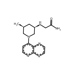 C[C@H]1C[C@@H](NCC(N)=O)CN(c2ccnc3nccnc23)C1